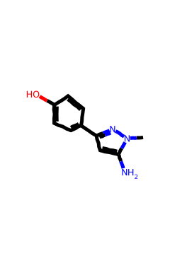 Cn1nc(-c2ccc(O)cc2)cc1N